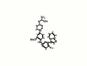 COc1cc(N2CCN(C[C@H](C)O)CC2)ccc1Nc1ncc(F)c(-c2cnc3ccccn23)n1